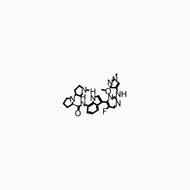 COc1nn(C)cc1Nc1ncc(F)c(-c2c[nH]c3c(NC(=O)[C@H]4CCCN4C4CCN(C)C4)cccc23)n1